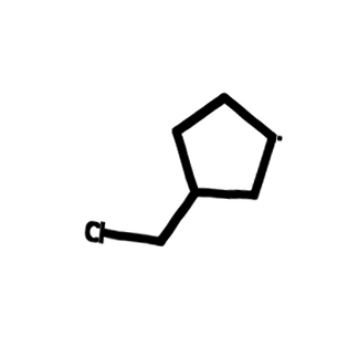 ClCC1C[CH]CC1